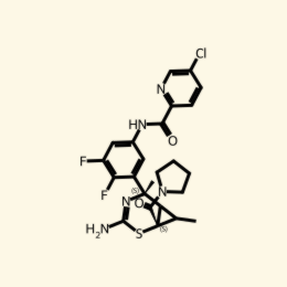 CC1C2[C@@]1(C(=O)N1CCCC1)SC(N)=N[C@]2(C)c1cc(NC(=O)c2ccc(Cl)cn2)cc(F)c1F